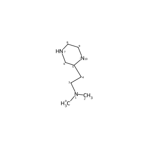 CN(C)CCC1CNCC[N]1